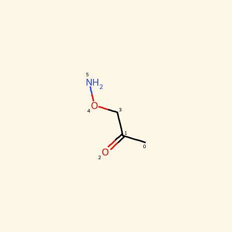 CC(=O)CON